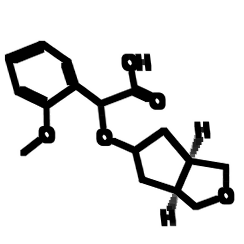 COc1ccccc1C(OC1C[C@H]2COC[C@H]2C1)C(=O)O